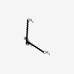 CCCCCCCC/C=C/CCCCCCCC(=O)OCC(CC)OC(=O)CCCCCCC/C=C/CCCCCCCC